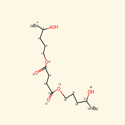 CCCCC(O)CCCOC(=O)CCC(=O)OCCCC(O)CCCC